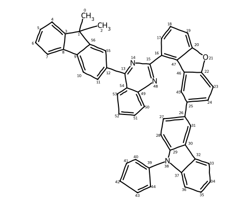 CC1(C)c2ccccc2-c2ccc(-c3nc(-c4cccc5oc6ccc(-c7ccc8c(c7)c7ccccc7n8-c7ccccc7)cc6c45)nc4ccccc34)cc21